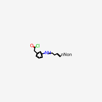 CCCCCCCCC/C=C/CCCNc1cccc(CC(=O)Cl)c1